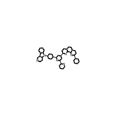 c1ccc(-c2ccc3ccc4ccc(-c5cc(-c6ccc(-n7c8ccccc8c8cnccc87)cc6)nc(-c6ccccn6)c5)nc4c3n2)cc1